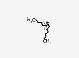 CCCCCC1C=CC(O)(CCCCC)O1